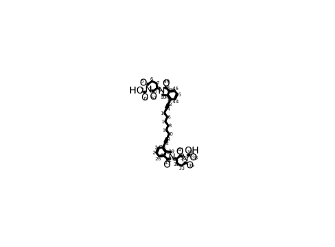 O=C(O)N1C(=O)CCC(N2Cc3c(C#CCCCCCCC#Cc4cccc5c4CN(C4CCC(=O)N(C(=O)O)C4=O)C5=O)cccc3C2=O)C1=O